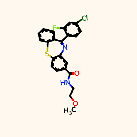 COCCNC(=O)c1ccc2c(c1)N=C(c1ccc(Cl)cc1F)c1ccccc1S2